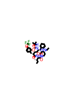 CCNC1CCN(C(=O)[C@@H](NC(=O)[C@H](Cc2ccc(OC(F)(F)F)cc2)C[C@H](O)[C@H](Cc2ccccc2)NC(=O)OC(C)(C)C)[C@@H](C)CC)CC1